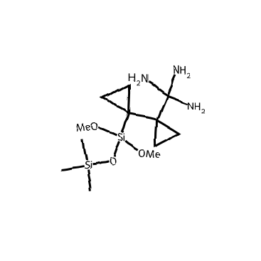 CO[Si](OC)(O[Si](C)(C)C)C1(C2(C(N)(N)N)CC2)CC1